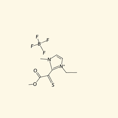 CC[n+]1ccn(C)c1C(=S)C(=O)OC.F[B-](F)(F)F